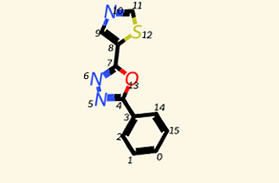 c1ccc(-c2nnc(-c3cncs3)o2)cc1